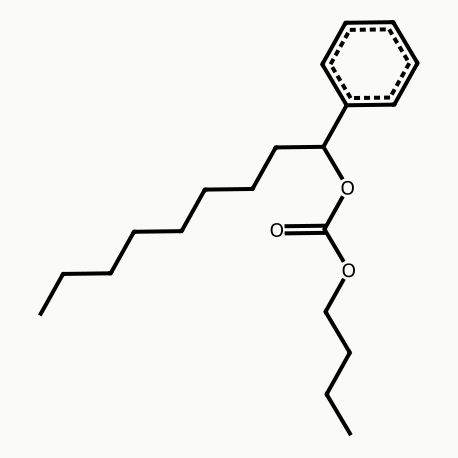 CCCCCCCCC(OC(=O)OCCCC)c1ccccc1